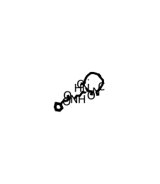 CN1CCCC/C=C/CCC[CH]C(=O)N[C@@H](CCCCNC(=O)OCc2ccccc2)C1=O